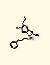 CCOc1cc(/C=C(/C#N)S(=O)(=O)NCCCc2ccccc2)ccc1O